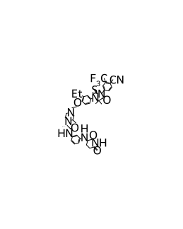 CCc1cc(N2C(=S)N(c3ccc(C#N)c(C(F)(F)F)c3)C(=O)C2(C)C)ccc1OCCN1CCN([C@@H](C)C(=O)Nc2cccc(NC3CCC(=O)NC3=O)c2)C(C)C1